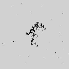 C=CCOC(=O)N1CC(O[Si](C)(C)C(C)(C)C)CC1CI